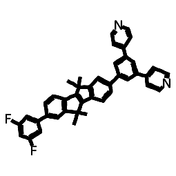 CC1(C)C2=C(c3ccc(-c4cc(F)cc(F)c4)cc31)C(C)(C)c1cc(-c3cc(-c4ccncc4)cc(-c4ccncc4)c3)ccc12